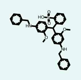 COc1cc(NCc2ccccc2)ccc1C(c1ccc(NCc2ccccc2)cc1OC)c1ccccc1S(=O)(=O)O